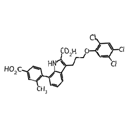 Cc1cc(C(=O)O)ccc1-c1cccc2c(CCCOc3cc(Cl)c(Cl)cc3Cl)c(C(=O)O)[nH]c12